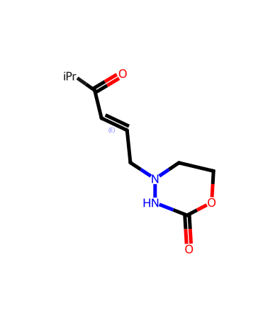 CC(C)C(=O)/C=C/CN1CCOC(=O)N1